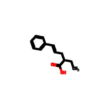 CCC(CC=Cc1ccccc1)C(=O)O